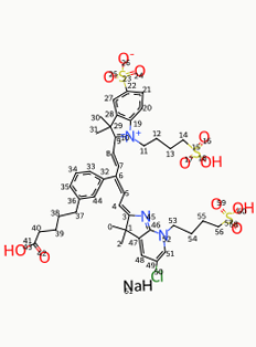 CC1(C)C(=CC=C(C=CC2=[N+](CCCCS(=O)(=O)O)c3ccc(S(=O)(=O)[O-])cc3C2(C)C)c2cccc(CCCCC(=O)O)c2)N=C2C1=CC(Cl)=CN2CCCCS(=O)(=O)O.[NaH]